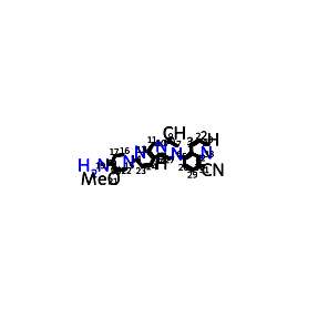 [2H]c1ccc2c(N3C[C@@H](C)N4Cc5nc(N6CC[C@@H](N)[C@H](OC)C6)ccc5[C@H]4C3)ccc(C#N)c2n1